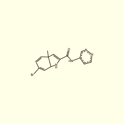 CC12C=CC(Br)=CC1NC(C(=O)Nc1ccnnc1)=C2